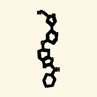 CCCn1cc(-c2cc(Oc3ccc4nc(NC5CCCCC5)sc4c3)ccn2)cn1